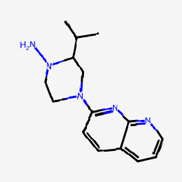 CC(C)C1CN(c2ccc3cccnc3n2)CCN1N